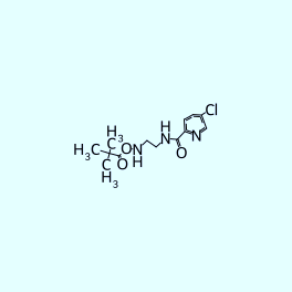 CC(C)(C)C(=O)ONCCNC(=O)c1ccc(Cl)cn1